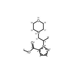 COC(=O)c1ccnn1C(C)CN1CCOCC1